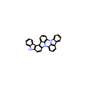 c1ccc2c(c1)[nH]c1ccc3c(c4cccc5c4n3c3cccc4c6ccccc6n5c43)c12